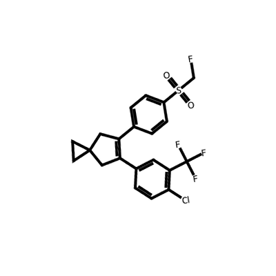 O=S(=O)(CF)c1ccc(C2=C(c3ccc(Cl)c(C(F)(F)F)c3)CC3(CC3)C2)cc1